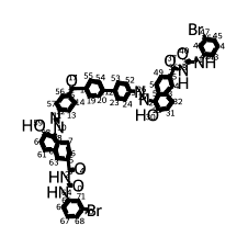 O=C(NC(=O)c1ccc2c(N=Nc3ccc(C(=O)c4ccc(-c5ccc(N=Nc6c(O)ccc7cc(C(=O)NC(=O)Nc8cccc(Br)c8)ccc67)cc5)cc4)cc3)c(O)ccc2c1)Nc1cccc(Br)c1